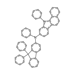 c1ccc(N(c2ccc3c(c2)C(c2ccccc2)(c2ccccc2)c2ccccc2-3)c2ccc3c4ccc5ccccc5c4n(-c4ccccc4)c3c2)cc1